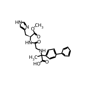 COC(=O)[C@H](Cc1c[nH]cn1)NC(=O)CNC(C)(C(=O)O)c1ccc(-c2ccccc2)cc1